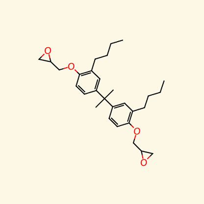 CCCCc1cc(C(C)(C)c2ccc(OCC3CO3)c(CCCC)c2)ccc1OCC1CO1